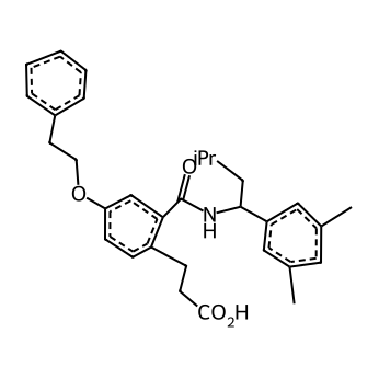 Cc1cc(C)cc(C(CC(C)C)NC(=O)c2cc(OCCc3ccccc3)ccc2CCC(=O)O)c1